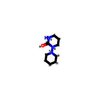 O=C1NCCCN1N1CCCCC1